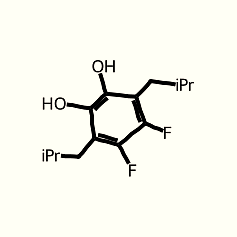 CC(C)Cc1c(O)c(O)c(CC(C)C)c(F)c1F